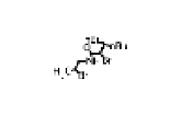 CCCCC(CCCC)C(Br)C(=O)NCC(C)Br